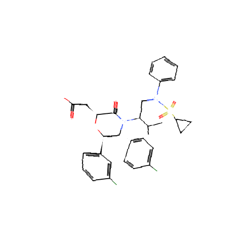 CC(C)C(CN(c1ccccc1)S(=O)(=O)C1CC1)N1C(=O)[C@H](CC(=O)O)O[C@H](c2cccc(Cl)c2)[C@H]1c1ccc(Cl)cc1